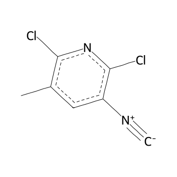 [C-]#[N+]c1cc(C)c(Cl)nc1Cl